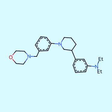 CCN(CC)c1cccc(C2CCCN(c3cccc(CN4CCOCC4)c3)C2)c1